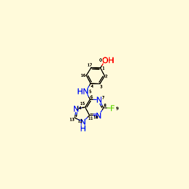 Oc1ccc(Nc2nc(F)nc3[nH]cnc23)cc1